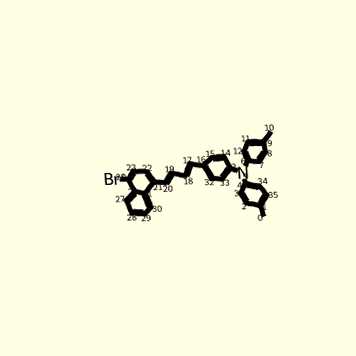 Cc1ccc(N(c2ccc(C)cc2)c2ccc(/C=C/C=C/c3ccc(Br)c4ccccc34)cc2)cc1